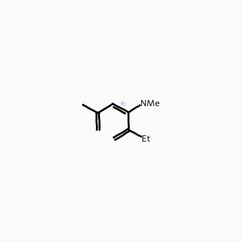 C=C(C)/C=C(/NC)C(=C)CC